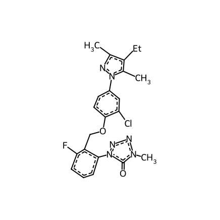 CCc1c(C)nn(-c2ccc(OCc3c(F)cccc3-n3nnn(C)c3=O)c(Cl)c2)c1C